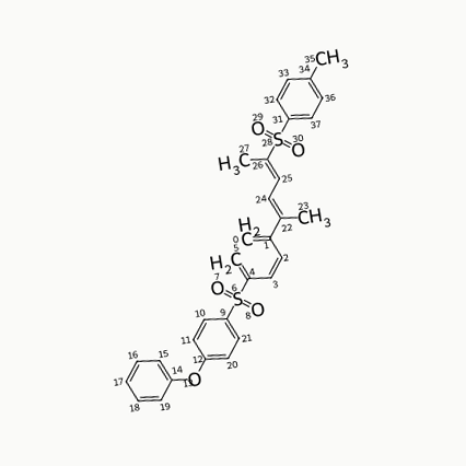 C=C(/C=C\C(=C)S(=O)(=O)c1ccc(Oc2ccccc2)cc1)/C(C)=C/C=C(\C)S(=O)(=O)c1ccc(C)cc1